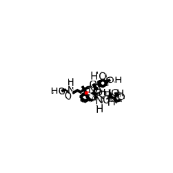 CC(C)(CCCNC(=O)CO)CN(C[C@@H](O)[C@H](Cc1ccccc1)NC(=O)O[C@H]1CO[C@H]2OCC[C@H]21)S(=O)(=O)c1ccc(O)c(O)c1